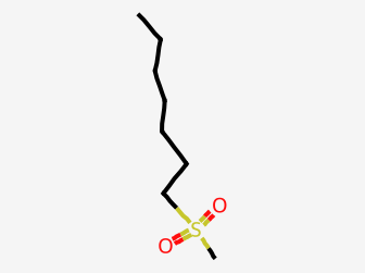 CCCCCCCS(C)(=O)=O